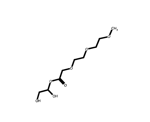 COCCOCCOCC(=O)OC(O)CO